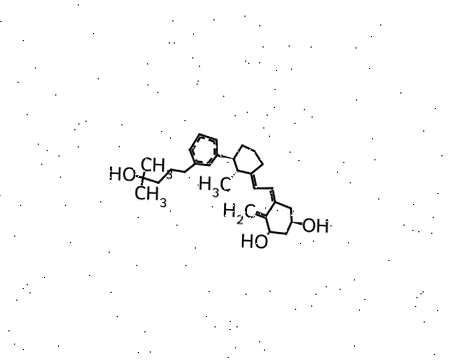 C=C1/C(=C\C=C2/CCC[C@H](c3cccc(CCCC(C)(C)O)c3)[C@H]2C)C[C@@H](O)C[C@@H]1O